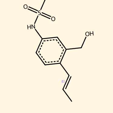 C/C=C/c1ccc(NS(C)(=O)=O)cc1CO